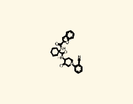 N#Cc1ccccc1N1CCC(NC(=O)C2(NC(=O)c3cc4ccccc4o3)CCCCC2)C(=O)C1